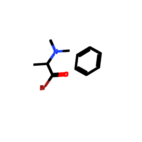 CC(C(=O)Br)N(C)C.c1ccccc1